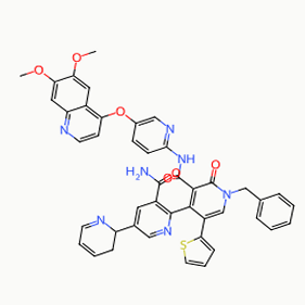 COc1cc2nccc(Oc3ccc(NC(=O)c4c(-c5ncc(C6CC=CC=N6)cc5C(N)=O)c(-c5cccs5)cn(Cc5ccccc5)c4=O)nc3)c2cc1OC